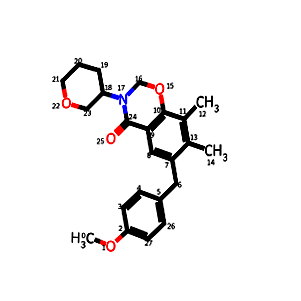 COc1ccc(Cc2cc3c(c(C)c2C)OCN(C2CCCOC2)C3=O)cc1